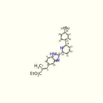 CCOC(=O)C(C)=Cc1ccc2[nH]c(-c3cccc(-c4ccc(C(C)(C)C)cc4)n3)nc2c1